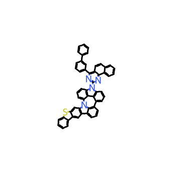 c1ccc(-c2cccc(-c3nc(-n4c5cccc6c7cccc8c9cc%10c(cc9n(c9cccc4c9c65)c78)sc4ccccc4%10)nc4c3ccc3ccccc34)c2)cc1